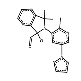 Cc1ncc(-n2cccn2)cc1N1C(C)(C)c2ccccc2C1(Cl)C=O